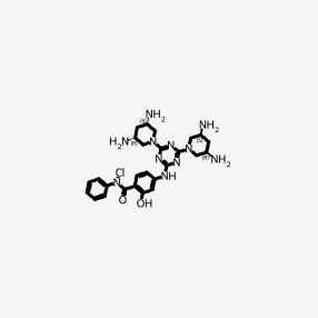 N[C@@H]1C[C@H](N)CN(c2nc(Nc3ccc(C(=O)N(Cl)c4ccccc4)c(O)c3)nc(N3C[C@H](N)C[C@H](N)C3)n2)C1